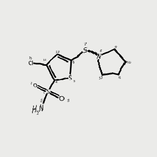 NS(=O)(=O)c1sc(SN2CCCC2)cc1Cl